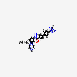 COc1ccc(NC(=O)c2ccc(-c3ccc(-c4nc(C)n(C)n4)cc3C)cc2)cc1N1CCN(C)CC1